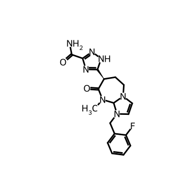 CN1C(=O)[C@@H](c2nc(C(N)=O)n[nH]2)CCN2C=CN(Cc3ccccc3F)C21